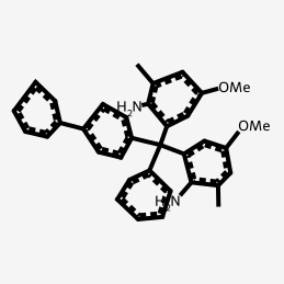 COc1cc(C)c(N)c(C(c2ccccc2)(c2ccc(-c3ccccc3)cc2)c2cc(OC)cc(C)c2N)c1